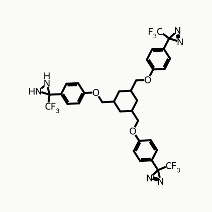 FC(F)(F)C1(c2ccc(OCC3CC(COc4ccc(C5(C(F)(F)F)N=N5)cc4)CC(COc4ccc(C5(C(F)(F)F)NN5)cc4)C3)cc2)N=N1